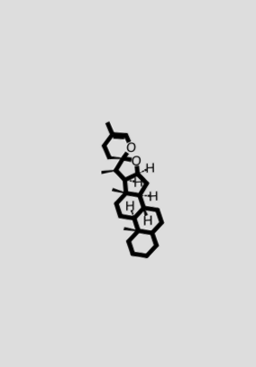 CC1=CO[C@]2(CC1)O[C@H]1C[C@H]3[C@@H]4CCC5CCCC[C@]5(C)[C@H]4CC[C@]3(C)[C@H]1[C@H]2C